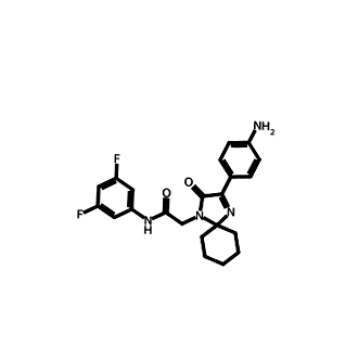 Nc1ccc(C2=NC3(CCCCC3)N(CC(=O)Nc3cc(F)cc(F)c3)C2=O)cc1